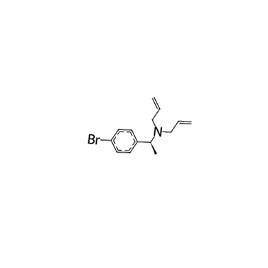 C=CCN(CC=C)[C@@H](C)c1ccc(Br)cc1